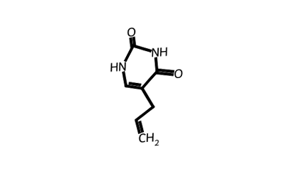 C=CCc1c[nH]c(=O)[nH]c1=O